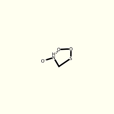 [O-][NH+]1CSOO1